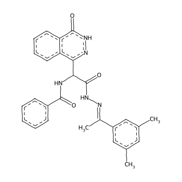 CC(=NNC(=O)C(NC(=O)c1ccccc1)c1n[nH]c(=O)c2ccccc12)c1cc(C)cc(C)c1